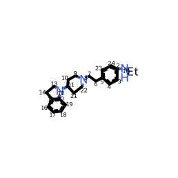 CCNc1ccc(CCN2CCC(N3CCc4ccccc43)CC2)cc1